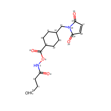 O=CCCC(=O)NOC(=O)C1CCC(CN2C(=O)C=CC2=O)CC1